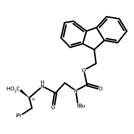 CC(C)C[C@H](NC(=O)CN(C(=O)OCC1c2ccccc2-c2ccccc21)C(C)(C)C)C(=O)O